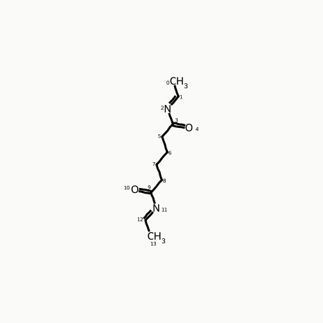 CC=NC(=O)CCCCC(=O)N=CC